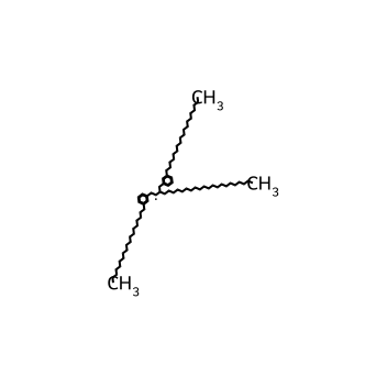 CCCCCCCCCCCCCCCCCCCCCC([CH]Cc1cccc(CCCCCCCCCCCCCCCCCCC)c1)Cc1cccc(CCCCCCCCCCCCCCCCCCC)c1